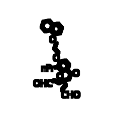 CCCc1c(OCCCOc2cccc3c2CCCC3)ccc2c1OC(CCC=O)(CCC=O)CC2=O